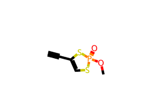 C#CC1=CSP(=O)(OC)S1